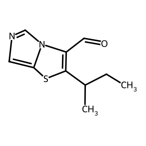 CCC(C)c1sc2cncn2c1C=O